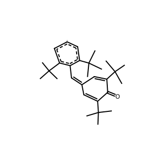 CC(C)(C)C1=CC(=Cc2c(C(C)(C)C)c[c]cc2C(C)(C)C)C=C(C(C)(C)C)C1=O